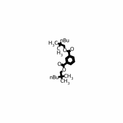 CCCCC(C)(C)COC(=O)c1cccc(C(=O)OCC(C)(C)CCCC)c1